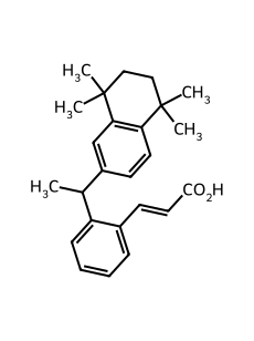 CC(c1ccc2c(c1)C(C)(C)CCC2(C)C)c1ccccc1C=CC(=O)O